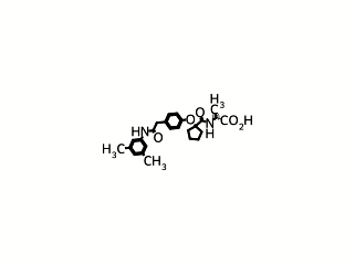 Cc1cc(C)cc(NC(=O)Cc2ccc(OC3(C(=O)N[C@H](C)C(=O)O)CCCC3)cc2)c1